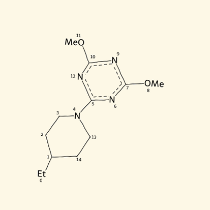 CCC1CCN(c2nc(OC)nc(OC)n2)CC1